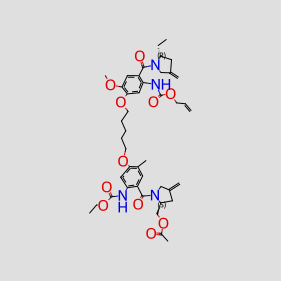 C=CCOC(=O)Nc1cc(OCCCCCOc2cc(NC(=O)OCC)c(C(=O)N3CC(=C)C[C@H]3COC(C)=O)cc2C)c(OC)cc1C(=O)N1CC(=C)C[C@H]1CC